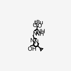 CC(C)(C)OC(=O)C1=CN(Cc2cn3cc(C4CC4)cc(CO)c3n2)NN1